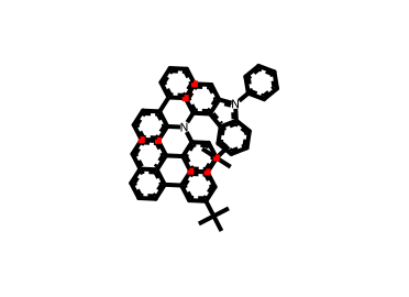 CC(C)(C)c1cc(-c2cccc3cccc(-c4ccccc4N(c4ccccc4-c4ccccc4)c4cccc5c4c4ccccc4n5-c4ccccc4)c23)cc(C(C)(C)C)c1